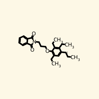 CC[C]c1cc(CC)c(OCCCN2C(=O)c3ccccc3C2=O)c(CC)c1CC